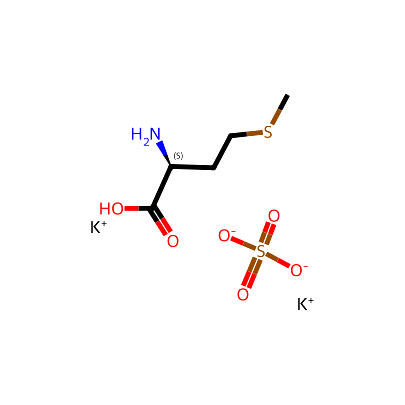 CSCC[C@H](N)C(=O)O.O=S(=O)([O-])[O-].[K+].[K+]